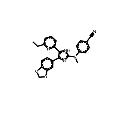 CCc1cccc(-c2[nH]c(N(C)c3ccc(C#N)cc3)nc2-c2ccc3c(c2)OCO3)n1